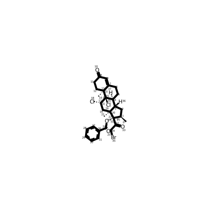 C[C@@H]1C[C@H]2[C@@H]3CCC4=CC(=O)CC[C@]4(C)[C@@]3(Cl)[C@@H](Cl)C[C@]2(C)[C@]1(OC(=O)c1ccccc1)C(=O)CBr